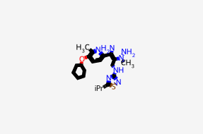 Cc1nc(/C(N)=C(\CNc2nsc(C(C)C)n2)N(C)N)ccc1OC1CCCCC1